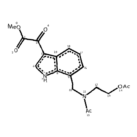 COC(=O)C(=O)c1c[nH]c2c(CN(CCOC(C)=O)C(C)=O)cccc12